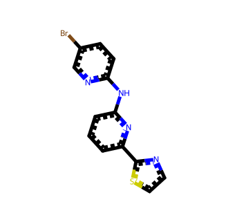 Brc1ccc(Nc2cccc(-c3nccs3)n2)nc1